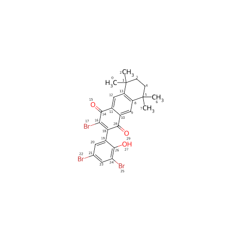 CC1(C)CCC(C)(C)c2cc3c(cc21)C(=O)C(Br)=C(c1cc(Br)cc(Br)c1O)C3=O